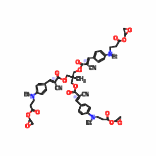 CCN(CCC(=O)OC1CO1)c1ccc(/C=C(\C#N)C(=O)OCC(C)(COC(=O)/C(C#N)=C/c2ccc(N(CC)CCC(=O)OC3CO3)cc2)COC(=O)/C(C#N)=C/c2ccc(N(CC)CCC(=O)OC3CO3)cc2)cc1